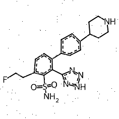 NS(=O)(=O)c1c(CCF)ccc(-c2ccc(C3CCNCC3)cc2)c1-c1nn[nH]n1